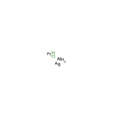 Cl.[Ag].[AlH3].[Pt]